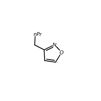 CCCCc1c[c]on1